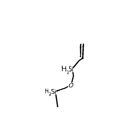 C=C[SiH2]O[SiH2]C